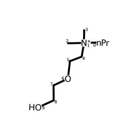 CCC[N+](C)(C)CCOCCO